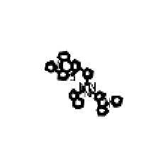 c1ccc(-n2c3ccccc3c3cc(-c4nc(-c5cccc(-c6ccc7c8ccccc8n8c9ccccc9c9ccc%10sc6c7c%10c98)c5)nc(-c5cccc6ccccc56)n4)ccc32)cc1